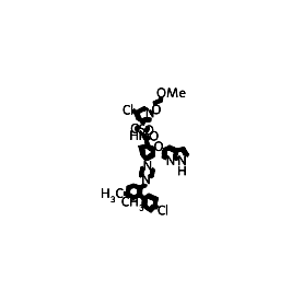 COCCON1C=C(S(=O)(=O)NC(=O)c2ccc(N3CCN(CC4=C(c5ccc(Cl)cc5)CC(C)(C)CC4)CC3)cc2Oc2cnc3[nH]ccc3c2)C=C(Cl)C1